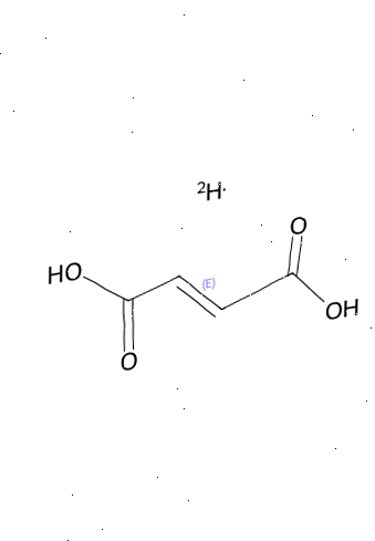 O=C(O)/C=C/C(=O)O.[2H]